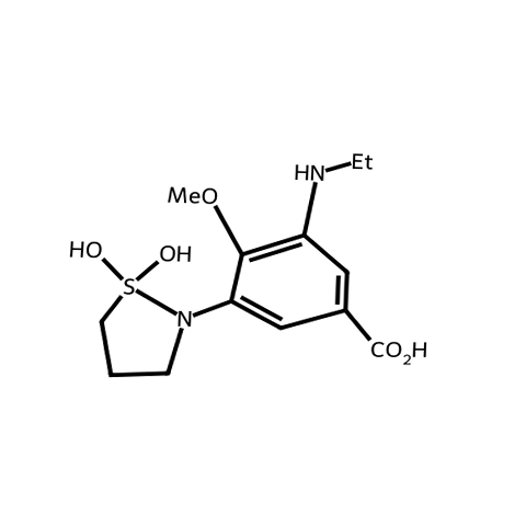 CCNc1cc(C(=O)O)cc(N2CCCS2(O)O)c1OC